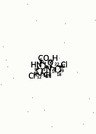 O=C(N[C@@H]1C[C@@H](C(=O)O)Nc2cc(Cl)cc(Cl)c21)c1cccc(Cl)c1